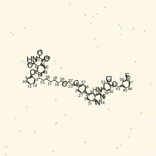 O=C1NC(=O)c2c(Oc3ccccc3CCCCCCCOCCOc3ccc(-c4ccc5ncnc(Nc6ccc(OCc7cccc(F)c7)c(Cl)c6)c5c4)cc3)cccc2C1=O